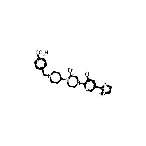 CC[C@H]1CN(c2ncc(-c3ncc[nH]3)cc2Cl)CCN1C1CCN(Cc2ccc(C(=O)O)cc2)CC1